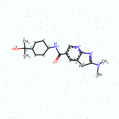 CN(C1=Nc2ncc(C(=O)NC3CCC(C(C)(C)O)CC3)cc2B1)C(C)(C)C